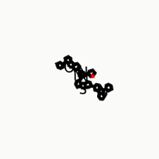 c1ccc(-c2nc(-c3ccc4c(c3)oc3c(-c5ccccc5)cccc34)nc(-c3cccc4sc5cc(-c6ccc7c(c6)c6ccccc6n7-c6ccccc6)ccc5c34)n2)cc1